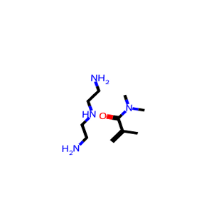 C=C(C)C(=O)N(C)C.NCCNCCN